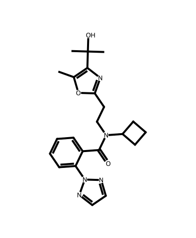 Cc1oc(CCN(C(=O)c2ccccc2-n2nccn2)C2CCC2)nc1C(C)(C)O